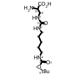 CC(C)(C)OC(=O)NCCCCCNC(=O)NCC(N)C(=O)O